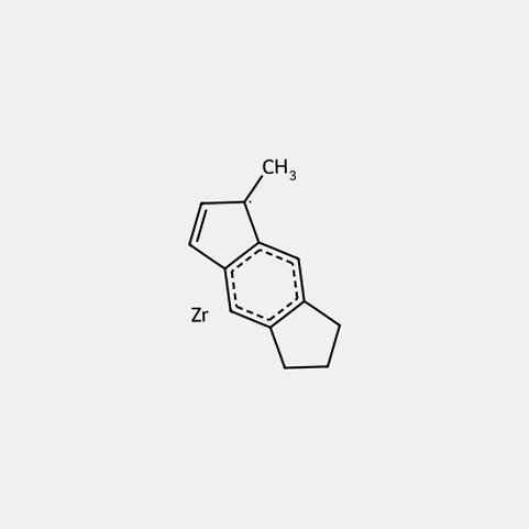 C[C]1C=Cc2cc3c(cc21)CCC3.[Zr]